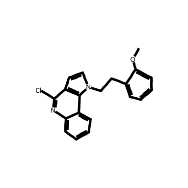 COc1ccccc1CCn1ccc2c(Cl)nc3ccccc3c21